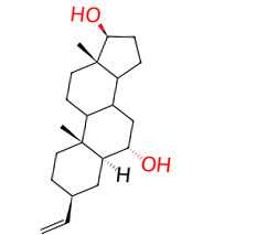 C=C[C@H]1CC[C@]2(C)C3CC[C@@]4(C)C(CC[C@@H]4O)C3C[C@H](O)[C@H]2C1